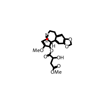 COC(=O)CC(O)C(=O)OC1C(OC)=C[C@]23CCCN2CCc2cc4c(cc2[C@H]13)OCO4